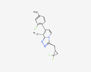 O=Cc1ccc(-c2ccn3c(CC4CC4(F)F)nnc3c2C(F)(F)F)c(F)c1